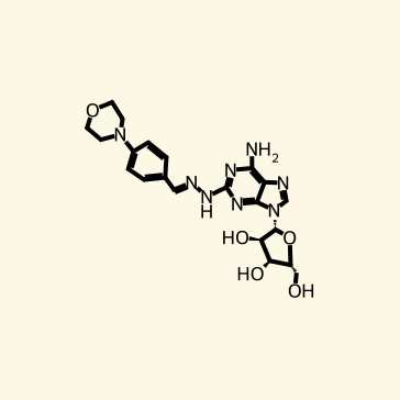 Nc1nc(N/N=C/c2ccc(N3CCOCC3)cc2)nc2c1ncn2[C@@H]1O[C@H](CO)[C@@H](O)[C@H]1O